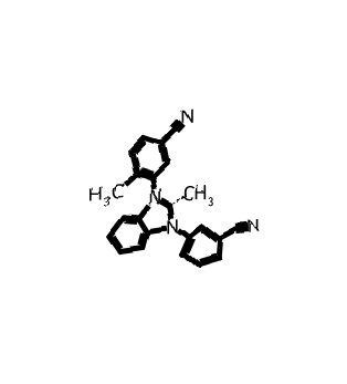 Cc1ccc(C#N)cc1N1c2ccccc2N(c2cccc(C#N)c2)[C@H]1C